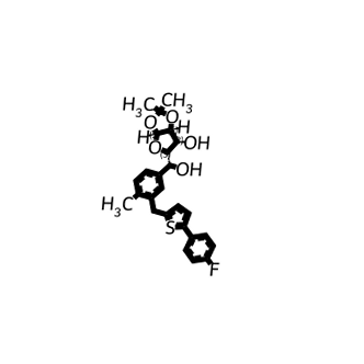 Cc1ccc(C(O)[C@@H]2O[C@H]3OC(C)(C)O[C@H]3[C@@H]2O)cc1Cc1ccc(-c2ccc(F)cc2)s1